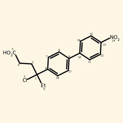 CCC(Cl)(CCC(=O)O)c1ccc(-c2ccc([N+](=O)[O-])cc2)cc1